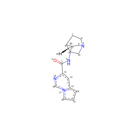 O=C(N[C@H]1CN2CCC1CC2)c1cc2cccn2cn1